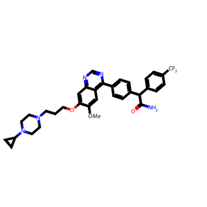 COc1cc2c(-c3ccc(C(C(N)=O)c4ccc(C(F)(F)F)cc4)cc3)ncnc2cc1OCCCN1CCN(C2CC2)CC1